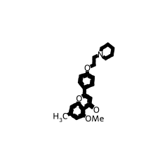 COc1cc(C)cc2oc(-c3ccc(OCCN4CCCCC4)cc3)cc(=O)c12